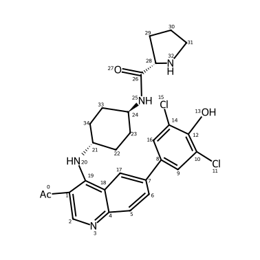 CC(=O)c1cnc2ccc(-c3cc(Cl)c(O)c(Cl)c3)cc2c1N[C@H]1CC[C@H](NC(=O)[C@@H]2CCCN2)CC1